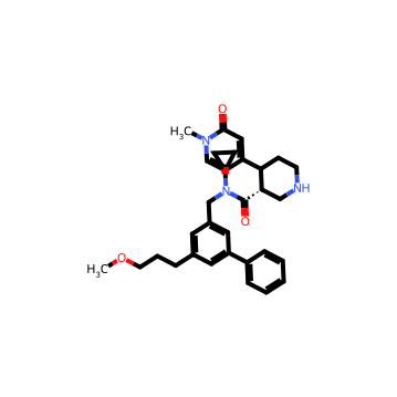 COCCCc1cc(CN(C(=O)[C@H]2CNCCC2c2ccn(C)c(=O)c2)C2CC2)cc(-c2ccccc2)c1